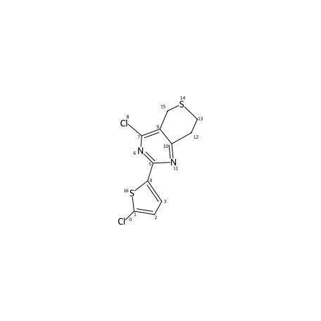 Clc1ccc(-c2nc(Cl)c3c(n2)CCSC3)s1